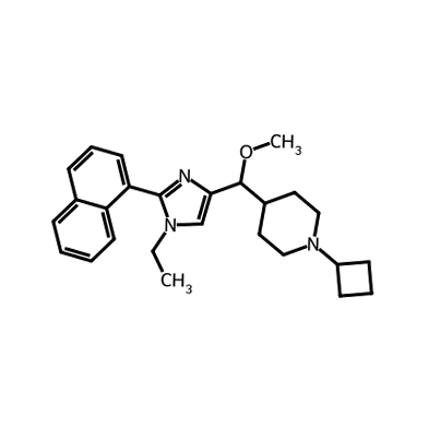 CCn1cc(C(OC)C2CCN(C3CCC3)CC2)nc1-c1cccc2ccccc12